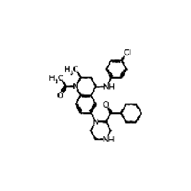 CC(=O)N1c2ccc(N3CCNCC3C(=O)C3CCCCC3)cc2C(Nc2ccc(Cl)cc2)CC1C